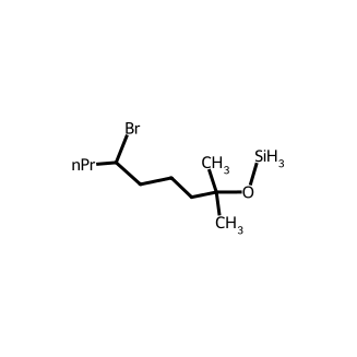 CCCC(Br)CCCC(C)(C)O[SiH3]